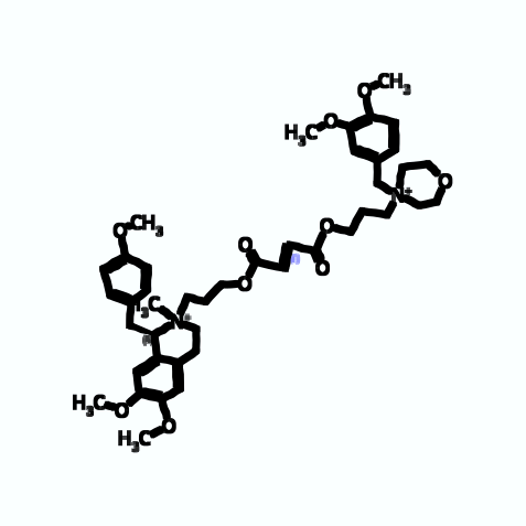 COc1ccc(C[C@@H]2c3cc(OC)c(OC)cc3CC[N+]2(C)CCCOC(=O)/C=C/C(=O)OCCC[N+]2(Cc3ccc(OC)c(OC)c3)CCOCC2)cc1